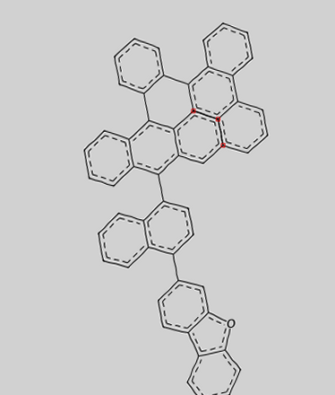 c1ccc(-c2cc3ccccc3c3ccccc23)c(-c2c3ccccc3c(-c3ccc(-c4ccc5c(c4)oc4ccccc45)c4ccccc34)c3ccccc23)c1